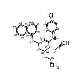 C#CC[C@@H](C(=O)Nc1ccc(Cl)cc1)[C@H](CCC)CCCc1ccnc2ccccc12